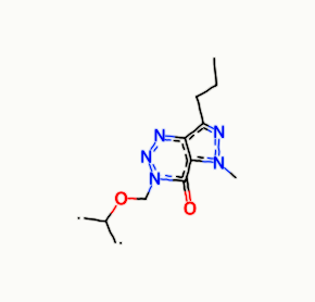 [CH2]C([CH2])OCn1nnc2c(CCC)nn(C)c2c1=O